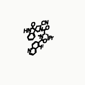 CC(C)C[C@@H](C(=O)N1C[C@]2(C[C@H]1C#N)C(=O)Nc1ccccc12)N(C)C(=O)c1ccc2ncccc2c1F